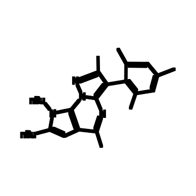 CCCCc1cc2c(C)nc3c(-c4c(C)cc(C)cc4C)c(C)nn3c2n1CCCC